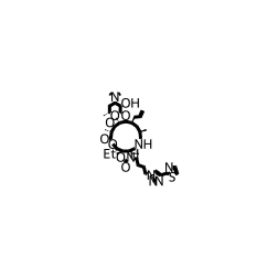 C=CC[C@H]1C[C@@H](C)CN[C@H](C)[C@H]2N(CCCCn3cc(-c4nccs4)nn3)C(=O)O[C@]2(C)[C@@H](CC)OC(=O)[C@H](C)C(=O)[C@H](C)[C@H]1O[C@@H]1O[C@H](C)CC(N(C)C)C1O